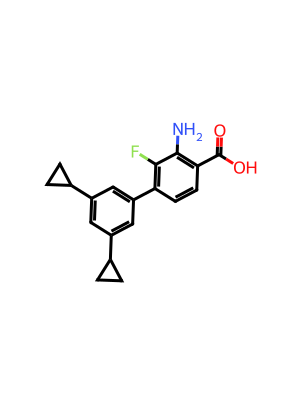 Nc1c(C(=O)O)ccc(-c2cc(C3CC3)cc(C3CC3)c2)c1F